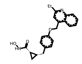 CCc1cc(COc2ccc(C[C@@H]3C[C@@H]3C(=O)NO)cc2)c2ccccc2n1